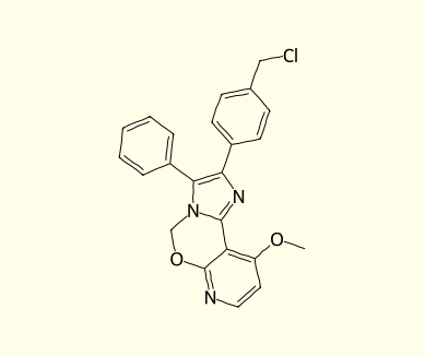 COc1ccnc2c1-c1nc(-c3ccc(CCl)cc3)c(-c3ccccc3)n1CO2